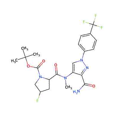 CN(C(=O)C1CC(F)CN1C(=O)OC(C)(C)C)c1cn(-c2ccc(C(F)(F)F)cc2)nc1C(N)=O